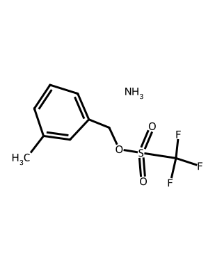 Cc1cccc(COS(=O)(=O)C(F)(F)F)c1.N